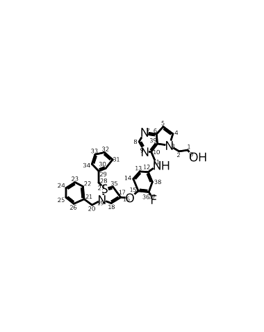 OCCn1ccc2ncnc(Nc3ccc(OC4=CN(Cc5ccccc5)S(Cc5ccccc5)=C4)c(F)c3)c21